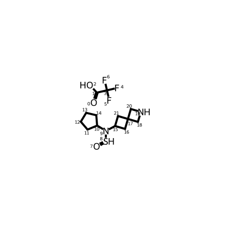 O=C(O)C(F)(F)F.O=[SH]N(C1CCCC1)C1CC2(CNC2)C1